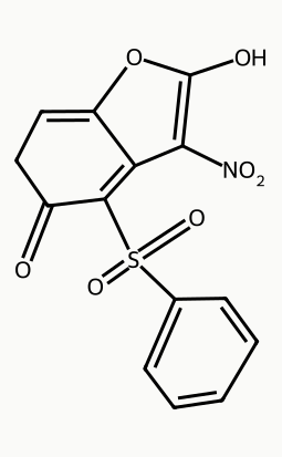 O=C1CC=c2oc(O)c([N+](=O)[O-])c2=C1S(=O)(=O)c1ccccc1